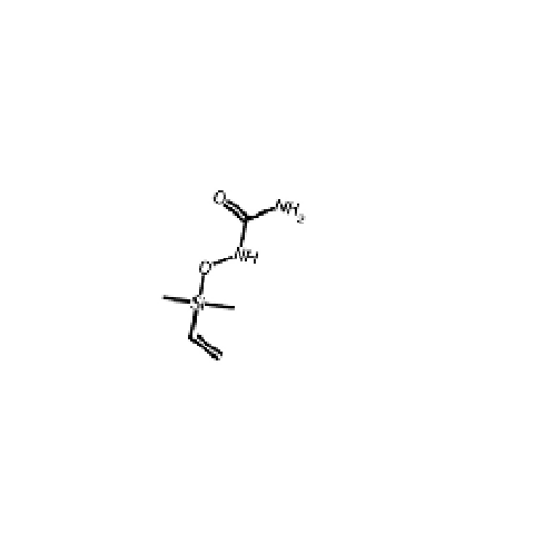 C=C[Si](C)(C)ONC(N)=O